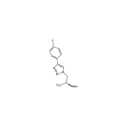 CN[C@@H](C)Cn1cc(-c2ccc(F)cc2)nn1